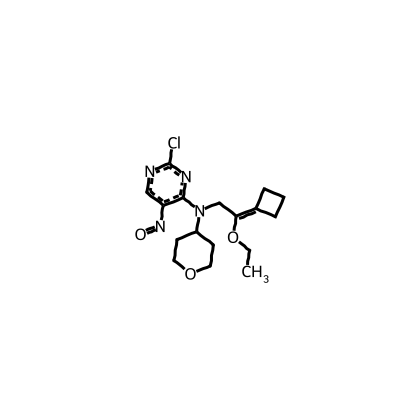 CCOC(CN(c1nc(Cl)ncc1N=O)C1CCOCC1)=C1CCC1